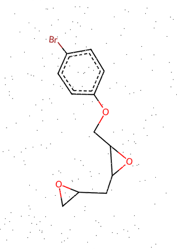 Brc1ccc(OCC2OC2CC2CO2)cc1